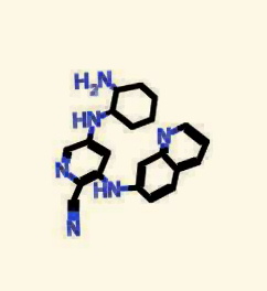 N#Cc1ncc(N[C@@H]2CCCC[C@@H]2N)cc1Nc1ccc2cccnc2c1